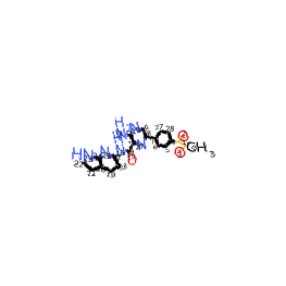 CS(=O)(=O)c1ccc(-c2cnc(N)c(C(=O)Nc3ccc4cc[nH]c4n3)n2)cc1